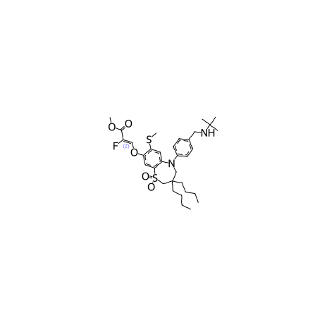 CCCCC1(CCCC)CN(c2ccc(CNC(C)(C)C)cc2)c2cc(SC)c(O/C=C(\F)C(=O)OC)cc2S(=O)(=O)C1